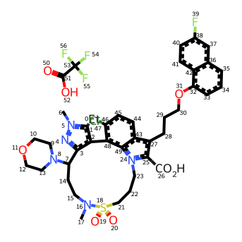 CCc1c2c(nn1C)C(N1CCOCC1)CCN(C)S(=O)(=O)CCCn1c(C(=O)O)c(CCCOc3cccc4cc(F)ccc34)c3ccc(Cl)c-2c31.O=C(O)C(F)(F)F